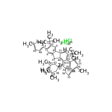 Cc1ccc(-c2cc3c(cc2C(C)(C)C)-c2cc(C(C)(C)C)c(-c4ccc(C)cc4)[c]([Zr]([C]4=CC=CC4)=[C](CC(C)C)CC(C)C)c2C3)cc1.Cl.Cl